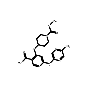 Cc1cnc(Nc2cc(NC3CCN(C(=O)OC(C)(C)C)CC3)c(C(N)=O)cn2)cn1